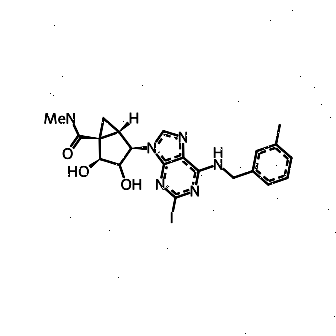 CNC(=O)[C@@]12C[C@@H]1[C@@H](n1cnc3c(NCc4cccc(C)c4)nc(I)nc31)C(O)[C@H]2O